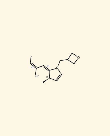 C/C=C(\C=C1/[C@H](C)C=CN1CC1COC1)C(C)C